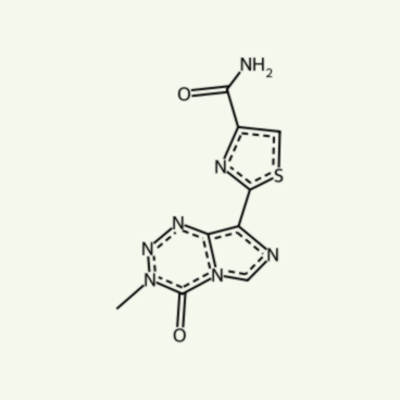 Cn1nnc2c(-c3nc(C(N)=O)cs3)ncn2c1=O